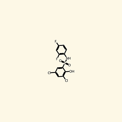 O=S(=O)(Nc1ccc(F)cc1F)c1cc(Cl)cc(Cl)c1O